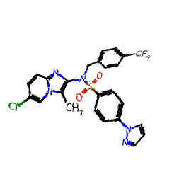 Cc1c(N(Cc2ccc(C(F)(F)F)cc2)S(=O)(=O)c2ccc(-n3cccn3)cc2)nc2ccc(Cl)cn12